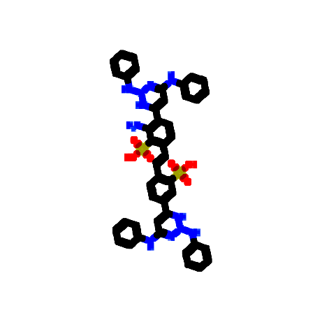 Nc1c(C2=CC(Nc3ccccc3)=NN(Nc3ccccc3)N2)ccc(C=Cc2ccc(C3=CC(Nc4ccccc4)=NN(Nc4ccccc4)N3)cc2S(=O)(=O)O)c1S(=O)(=O)O